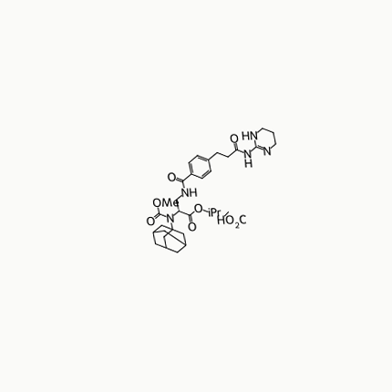 CC(=O)O.COC(=O)N([C@@H](CNC(=O)c1ccc(CCC(=O)NC2=NCCCN2)cc1)C(=O)OC(C)C)C12CC3CC(CC(C3)C1)C2